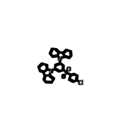 O=S(=O)(c1ccc(Cl)cc1)c1cc(-n2c3ccccc3c3ccccc32)cc(-n2c3ccccc3c3ccccc32)c1